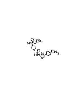 Cc1ccc(-c2csc(NC(=O)CC3CCC(NC(=O)OC(C)(C)C)CC3)n2)cc1